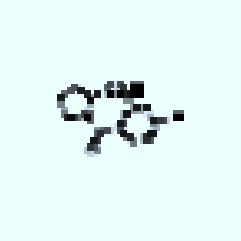 O=C(O)C1CCCN1C(=O)c1ccc(F)cc1